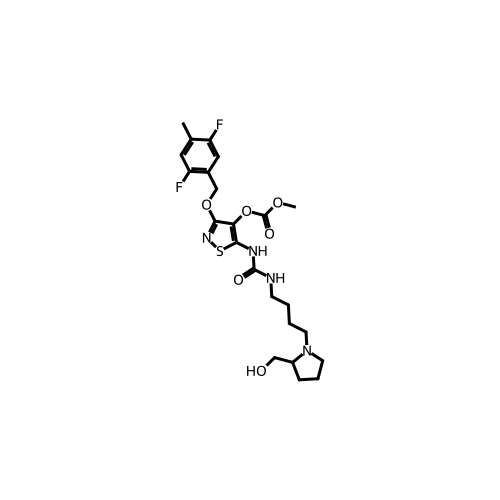 COC(=O)Oc1c(OCc2cc(F)c(C)cc2F)nsc1NC(=O)NCCCCN1CCCC1CO